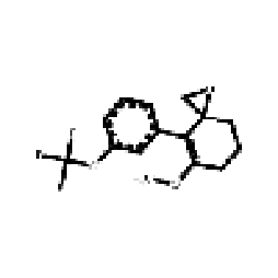 COC1=C(c2cccc(OC(F)(F)F)c2)[C@]2(CCC1)CO2